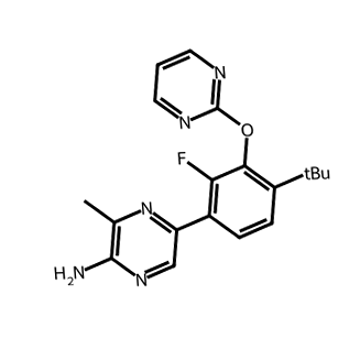 Cc1nc(-c2ccc(C(C)(C)C)c(Oc3ncccn3)c2F)cnc1N